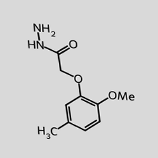 COc1ccc(C)cc1OCC(=O)NN